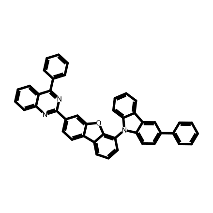 c1ccc(-c2ccc3c(c2)c2ccccc2n3-c2cccc3c2oc2cc(-c4nc(-c5ccccc5)c5ccccc5n4)ccc23)cc1